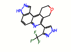 FC(F)(F)c1n[nH]cc1-c1nc2ccc3[nH]ncc3c2c2c1COCC2